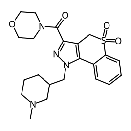 CN1CCCC(Cn2nc(C(=O)N3CCOCC3)c3c2-c2ccccc2S(=O)(=O)C3)C1